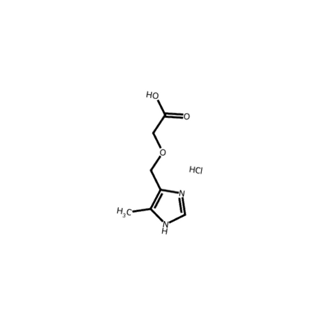 Cc1[nH]cnc1COCC(=O)O.Cl